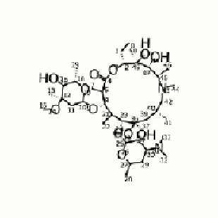 CC[C@H]1OC(=O)[C@H](C)[C@@H](O[C@H]2C[C@@](C)(OC)[C@@H](O)[C@H](C)O2)C(C)[C@@H](O[C@@H]2O[C@H](C)CC(N(C)C)[C@H]2O)[C@](C)(O)C[C@@H](C)CN(C)[C@H](C)[C@@H](O)[C@]1(C)O